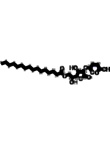 CCCCCCCCCCCCCCCC(=O)OC[C@H](O)[C@H]1OC(=O)C(OC(=O)/C=C\C(=O)O)=C1O